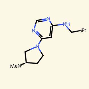 CN[C@@H]1CCN(c2cc(NCC(C)C)ncn2)C1